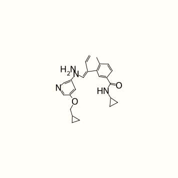 C=C/C(=C\N(N)c1cncc(OCC2CC2)c1)c1cc(C(=O)NC2CC2)ccc1C